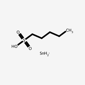 CCCCCS(=O)(=O)O.[SnH2]